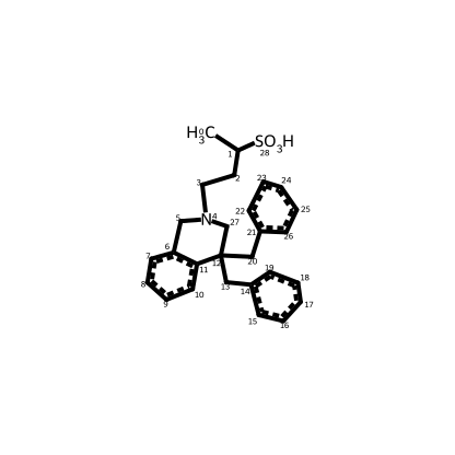 CC(CCN1Cc2ccccc2C(Cc2ccccc2)(Cc2ccccc2)C1)S(=O)(=O)O